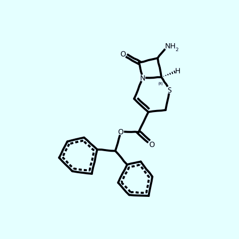 NC1C(=O)N2C=C(C(=O)OC(c3ccccc3)c3ccccc3)CS[C@H]12